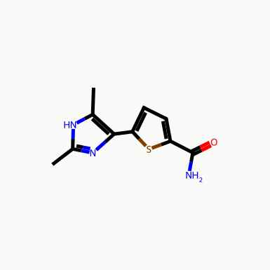 Cc1nc(-c2ccc(C(N)=O)s2)c(C)[nH]1